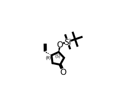 C=C[C@H]1CC(=O)C[C@@H]1O[Si](C)(C)C(C)(C)C